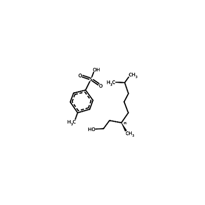 CC(C)CCC[C@@H](C)CCO.Cc1ccc(S(=O)(=O)O)cc1